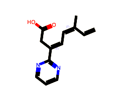 C=C/C(C)=C\C=C(/CC(=O)O)c1ncccn1